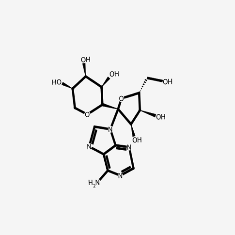 Nc1ncnc2c1ncn2[C@]1(C2OC[C@@H](O)[C@@H](O)[C@H]2O)O[C@H](CO)[C@@H](O)[C@H]1O